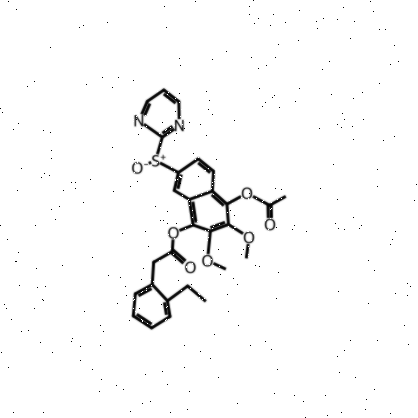 CCc1ccccc1CC(=O)Oc1c(OC)c(OC)c(OC(C)=O)c2ccc([S+]([O-])c3ncccn3)cc12